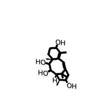 CC1=C2/C=C3/CC(O)[C@@H](C)[C@H](C(O)C(O)[C@]2(C)CCC1O)C3(C)C